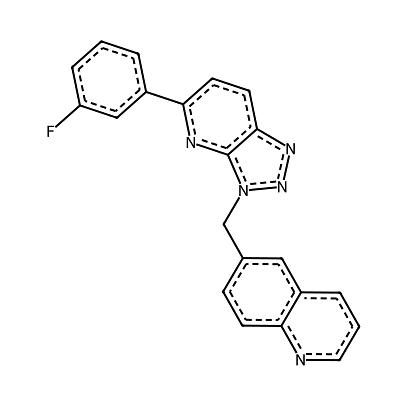 Fc1cccc(-c2ccc3nnn(Cc4ccc5ncccc5c4)c3n2)c1